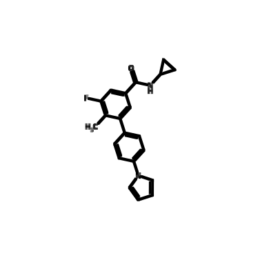 Cc1c(F)cc(C(=O)NC2CC2)cc1-c1ccc(-n2cccc2)cc1